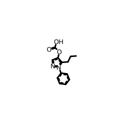 CCCc1c(OC(=O)O)cnn1-c1ccccc1